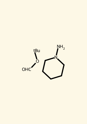 CC(C)(C)OC=O.NN1CCCCC1